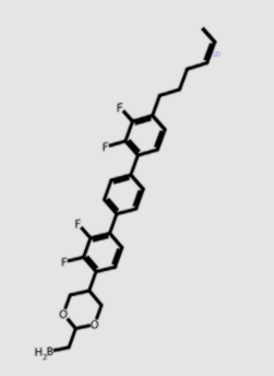 BCC1OCC(c2ccc(-c3ccc(-c4ccc(CCC/C=C\C)c(F)c4F)cc3)c(F)c2F)CO1